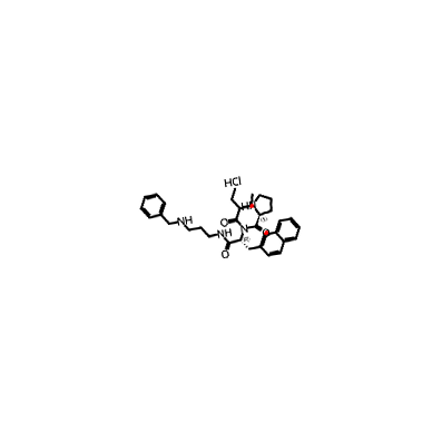 CCC(CC)C(=O)N(C(=O)[C@@H]1CCCN1)[C@H](Cc1ccc2ccccc2c1)C(=O)NCCCNCc1ccccc1.Cl